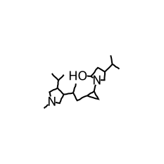 CC(C)C1CC(O)N(C2CC2CC(C)C2CN(C)CC2C(C)C)C1